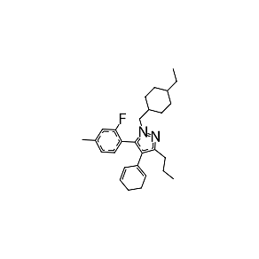 CCCc1nn(CC2CCC(CC)CC2)c(-c2ccc(C)cc2F)c1C1=CCCC=C1